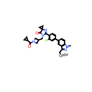 COCc1nn(C)c2ccc(-c3ccc(C4=NC5(CC5)C(=O)N4CC4CN(C(=O)C5CC5)C4)c(F)c3)cc12